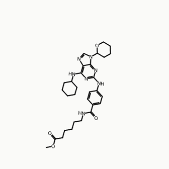 COC(=O)CCCCCNC(=O)c1ccc(Nc2nc(NC3CCCCC3)c3ncn(C4CCCCO4)c3n2)cc1